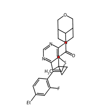 CCc1ccc(-c2csc3c(OC4C5COCC4CN(C(=O)OC4(C)CC4)C5)ncnc23)c(F)c1